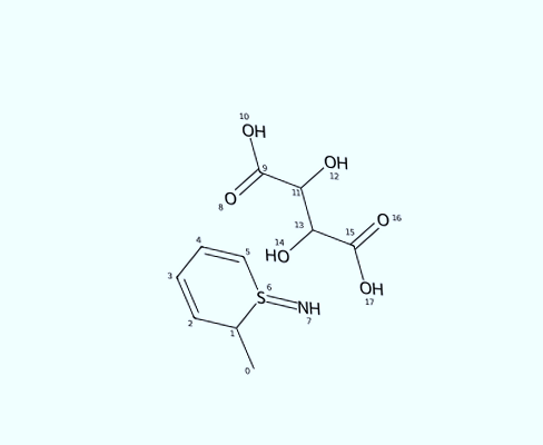 CC1C=CC=CS1=N.O=C(O)C(O)C(O)C(=O)O